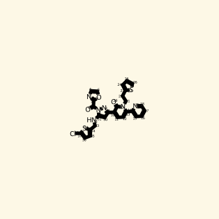 O=C(c1ncco1)n1nc(-c2ccc(-c3ccccn3)n(CCc3cccs3)c2=O)cc1NCc1ccc(Cl)s1